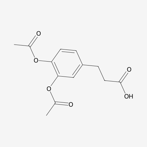 CC(=O)Oc1ccc(CCC(=O)O)cc1OC(C)=O